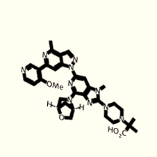 COc1ccncc1-c1cc2c(cnn2-c2cc3c(nc(N4CCN(C(C)(C)C(=O)O)CC4)n3C)c(N3C[C@H]4C[C@@H]3CO4)n2)c(C)n1